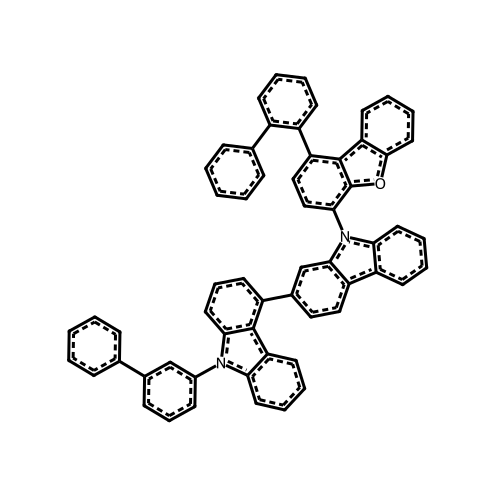 c1ccc(-c2cccc(-n3c4ccccc4c4c(-c5ccc6c7ccccc7n(-c7ccc(-c8ccccc8-c8ccccc8)c8c7oc7ccccc78)c6c5)cccc43)c2)cc1